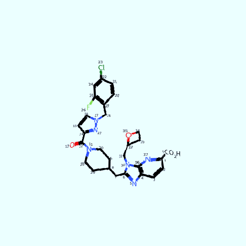 O=C(O)c1ccc2nc(CC3CCN(C(=O)c4ccn(Cc5ccc(Cl)cc5F)n4)CC3)n(C[C@@H]3CCO3)c2n1